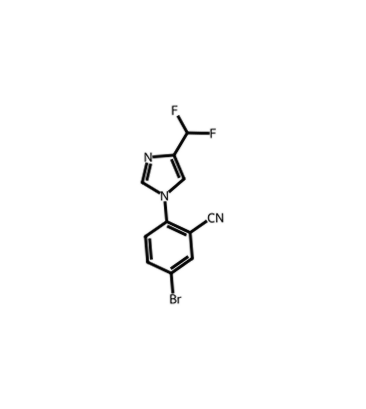 N#Cc1cc(Br)ccc1-n1cnc(C(F)F)c1